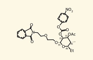 CC[C@H]1O[C@H](OCCOCCN2C(=O)c3ccccc3C2=O)[C@@H](OC(=O)Oc2ccc([N+](=O)[O-])cc2)[C@@H](OC(C)=O)[C@@H]1C